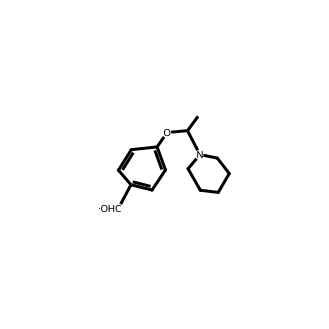 CC(Oc1ccc([C]=O)cc1)N1CCCCC1